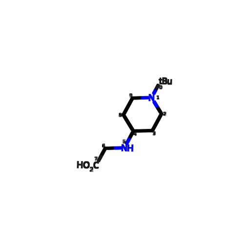 CC(C)(C)N1CCC(NCC(=O)O)CC1